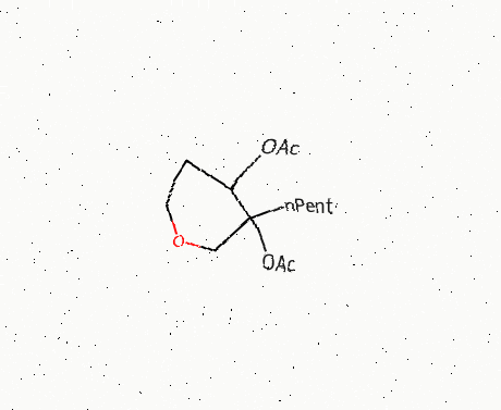 CCCCCC1(OC(C)=O)COCCC1OC(C)=O